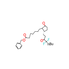 CCCCC(F)(F)C(=O)CC[C@H]1CCC(=O)C1CCCCCCC(=O)OCc1ccccc1